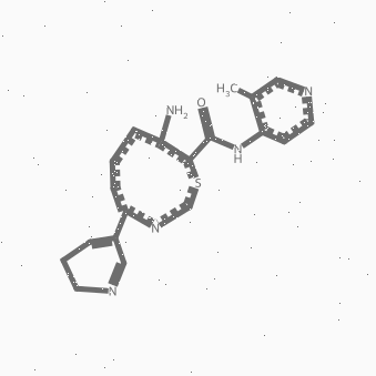 Cc1cnccc1NC(=O)c1scnc(C2=CCCN=C2)cccc1N